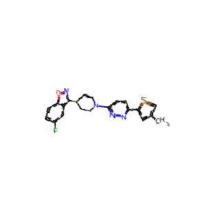 Cc1csc(-c2ccc(N3CCC(c4noc5ccc(F)cc45)CC3)nn2)c1